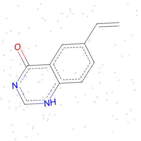 C=Cc1ccc2[nH]cnc(=O)c2c1